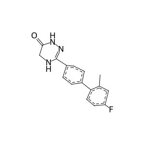 Cc1cc(F)ccc1-c1ccc(C2=NNC(=O)CN2)cc1